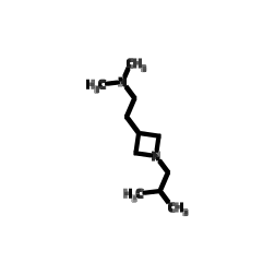 CC(C)CN1CC(CCN(C)C)C1